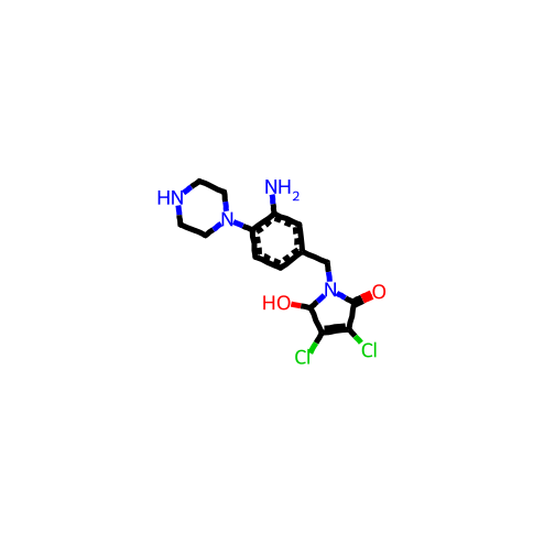 Nc1cc(CN2C(=O)C(Cl)=C(Cl)C2O)ccc1N1CCNCC1